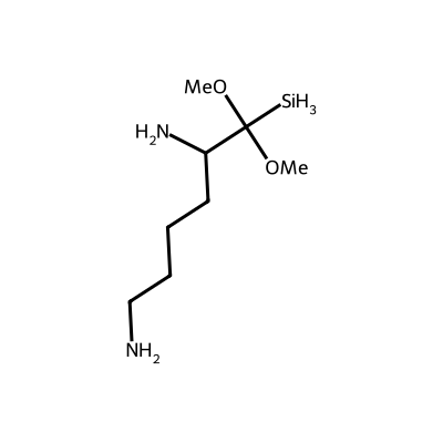 COC([SiH3])(OC)C(N)CCCCN